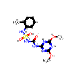 COc1nc(NC(=O)NS(=O)(=O)Nc2ccccc2C)nc(OC)n1